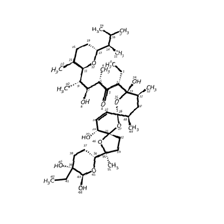 CC[C@@H](C(=O)[C@@H](C)[C@@H](O)[C@H](C)[C@@H]1O[C@@H]([C@H](C)C(C)C)CC[C@@H]1C)[C@@]1(O)O[C@]2(C=C[C@@H](O)[C@]3(CC[C@@](C)([C@H]4CC[C@](O)(CC)[C@H](O)O4)O3)O2)[C@H](C)C[C@@H]1C